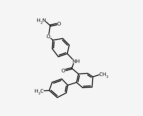 Cc1ccc(-c2ccc(C)cc2C(=O)Nc2ccc(OC(N)=O)cc2)cc1